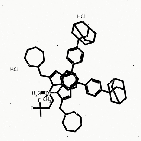 Cl.Cl.[CH3][Zr](=[SiH2])([CH2]CC(F)(F)F)([CH]1C(CC2CCCCCC2)=Cc2c(-c3ccc(C45CC6CC(CC(C6)C4)C5)cc3)cccc21)[CH]1C(CC2CCCCCC2)=Cc2c(-c3ccc(C45CC6CC(CC(C6)C4)C5)cc3)cccc21